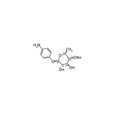 CO[C@H]1[C@@H](O)[C@H](O)[C@@H](Oc2ccc(N)cc2)O[C@H]1C